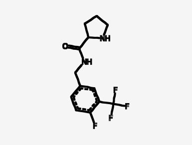 O=C(NCc1ccc(F)c(C(F)(F)F)c1)C1CCCN1